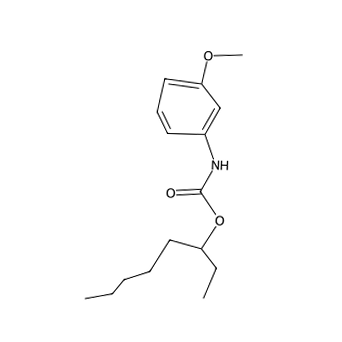 CCCCCC(CC)OC(=O)Nc1cccc(OC)c1